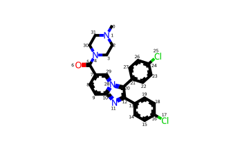 CN1CCN(C(=O)c2ccc3nc(-c4ccc(Cl)cc4)c(-c4ccc(Cl)cc4)n3c2)CC1